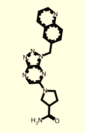 NC(=O)C1CCN(c2cnc3nnn(Cc4ccc5ncccc5c4)c3n2)C1